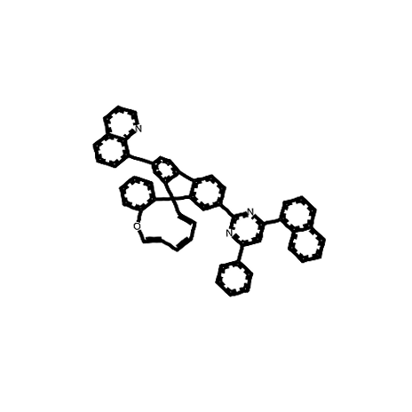 C1=C\C=C\C2(c3ccccc3O/C=C/1)c1cc(-c3nc(-c4ccccc4)cc(-c4cccc5ccccc45)n3)ccc1-c1ccc(-c3cccc4cccnc34)cc12